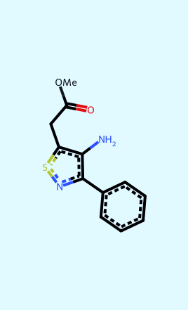 COC(=O)Cc1snc(-c2ccccc2)c1N